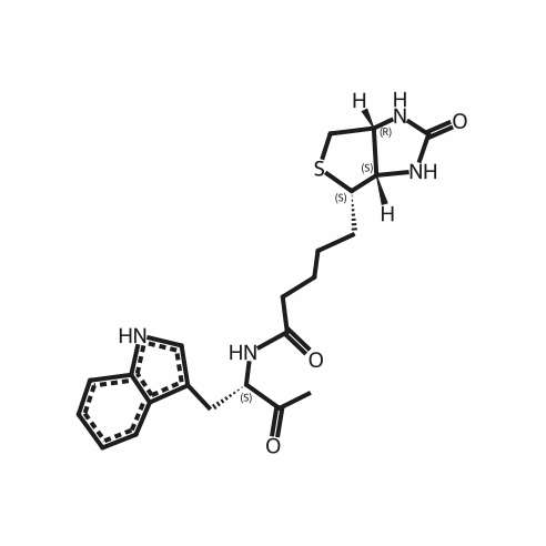 CC(=O)[C@H](Cc1c[nH]c2ccccc12)NC(=O)CCCC[C@@H]1SC[C@@H]2NC(=O)N[C@@H]21